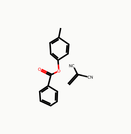 C=C(C#N)C#N.Cc1ccc(OC(=O)c2ccccc2)cc1